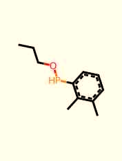 CCCOPc1cccc(C)c1C